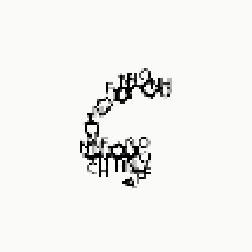 Cn1nc(C2CCC(=O)NC2=O)c2ccc(N3CCN(CC4CCN(c5ncc(Cl)c(Nc6cc7c8c(c(=O)n(C)c7cc6F)OCC(F)(F)[C@H](C6CC6)N8)n5)CC4)CC3)c(F)c21